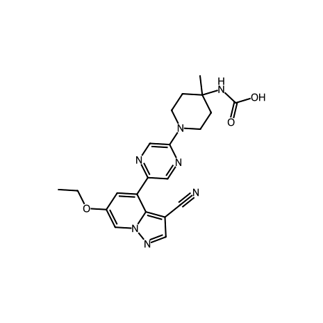 CCOc1cc(-c2cnc(N3CCC(C)(NC(=O)O)CC3)cn2)c2c(C#N)cnn2c1